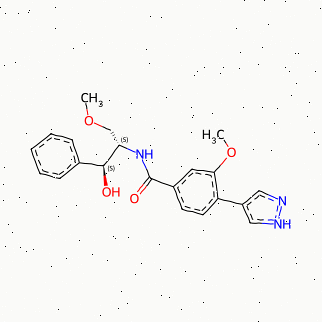 COC[C@H](NC(=O)c1ccc(-c2cn[nH]c2)c(OC)c1)[C@@H](O)c1ccccc1